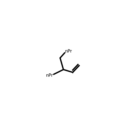 C=[C]C(CCC)CCCC